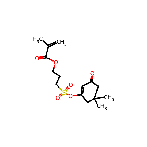 C=C(C)C(=O)OCCCS(=O)(=O)OC1=CC(=O)CC(C)(C)C1